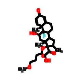 CC1CC2C3CCC4=CC(=O)C=CC4(C)C3(F)C(O)CC2(C)C1(OC(=O)CCCO[N+](=O)[O-])C(=O)CO